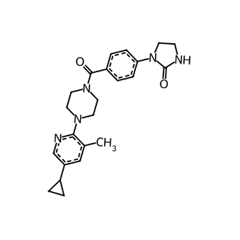 Cc1cc(C2CC2)cnc1N1CCN(C(=O)c2ccc(N3CCNC3=O)cc2)CC1